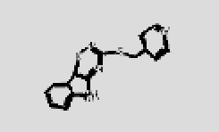 c1ccc2c(c1)[nH]c1nc(SCc3ccncc3)nnc12